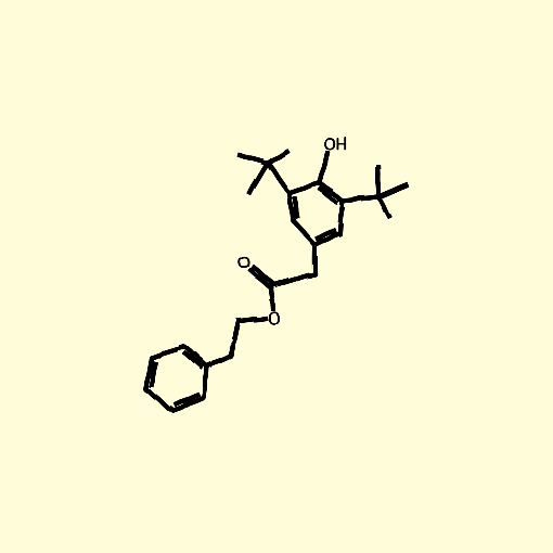 CC(C)(C)c1cc(CC(=O)OCCc2ccccc2)cc(C(C)(C)C)c1O